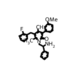 COc1cccc(-c2c(C)c(Cc3ccccc3F)c(C)n(CC(N)c3ccccc3)c2=O)c1